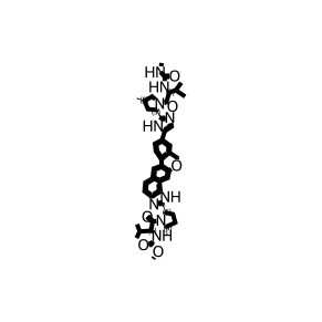 CNC(=O)N[C@H](C(=O)N1C[C@@H](C)C[C@H]1c1ncc(-c2ccc3c(c2)COc2cc4c(ccc5nc([C@@H]6CC[C@H](C)N6C(=O)[C@@H](NC(=O)OC)C(C)C)[nH]c54)cc2-3)[nH]1)C(C)C